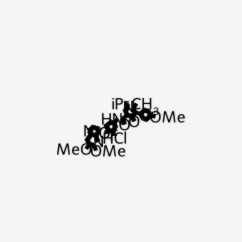 COc1ccc(-c2c(C)n(C(C)C)cc(C(=O)Nc3ccc(Oc4ccnc5cc(OC)c(OC)nc45)c(F)c3)c2=O)cc1.Cl